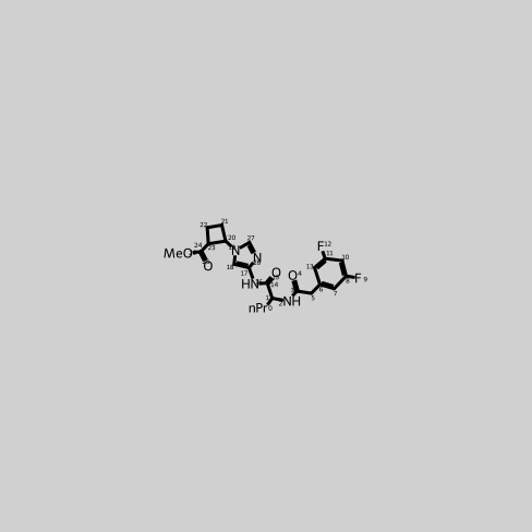 CCCC(NC(=O)Cc1cc(F)cc(F)c1)C(=O)Nc1cn(C2CCC2C(=O)OC)cn1